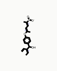 C=C/C(=C\C)C(O)c1ccc(O/C(C)=C/C=C(\C)[N+](=O)[O-])cc1